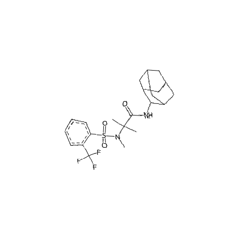 CN(C(C)(C)C(=O)NC1C2CC3CC(C2)CC1C3)S(=O)(=O)c1ccccc1C(F)(F)F